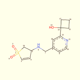 O=S1(=O)C=CC(NCc2ccnc(C3(O)CCC3)c2)C1